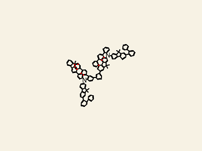 CC1(C)c2ccccc2-c2ccc(-c3ccc(N(c4ccc5c(c4)C(C)(C)c4cc(-c6ccccc6-c6ccccc6)ccc4-5)c4ccc(-c5cccc(-c6ccc7c(c6)C(C)(C)c6cc(N(c8ccc9c(c8)C(C)(C)c8cc(-c%10ccccc%10-c%10ccccc%10)ccc8-9)c8ccccc8-c8ccc(-c9ccccc9)cc8)ccc6-7)c5)cc4-c4ccc(-c5ccccc5)cc4)cc3)cc21